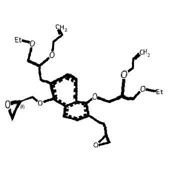 C=CCOC(COCC)COc1c(CC2CO2)ccc2c(OC[C@H]3CO3)c(CC(COCC)OCC=C)ccc12